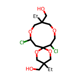 CCC1(CO)COCC(Cl)C2(CC(Cl)OC1)OCC(CC)(CO)CO2